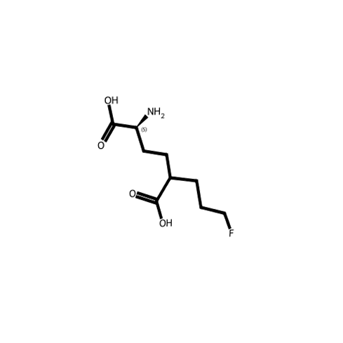 N[C@@H](CCC(CCCF)C(=O)O)C(=O)O